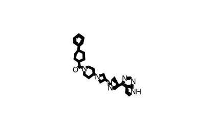 O=C(C1CCC(c2ccccc2)CC1)N1CCC(N2CC(n3cc(-c4ncnc5[nH]ccc45)cn3)C2)CC1